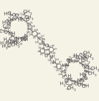 CC[C@H](C)[C@@H]1NC(=O)[C@H](CC(=O)O)NC(=O)[C@H](CC(C)C)NC(=O)c2ccc(-c3ccc(N4CCN(C(=O)c5ccccc5-c5ccccc5C(=O)N5CCN(c6ccc(-c7ccc8cc7CNC(=O)[C@@H]7CCCN7C(C(=O)NC(C)(C)C)[C@H](C)NC(=O)[C@H]([C@@H](C)CC)NC(=O)[C@H](CC(=O)O)NC(=O)[C@H](CC(C)C)NC8=O)cc6)CC5)CC4)cc3)c(c2)CNC(=O)[C@@H]2CCCN2C(C(=O)NC(C)(C)C)[C@H](C)NC1=O